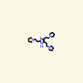 C1CCN(CCc2nc(CCN3CCCC3)c(CCN3CCCC3)[nH]2)C1